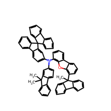 CC1(C)c2ccccc2-c2ccc(N(c3ccc4c(c3)C3(c5ccccc5-c5ccccc53)c3ccccc3-4)c3cccc4c3oc3c(C5(C)c6ccccc6-c6ccccc65)cccc34)cc21